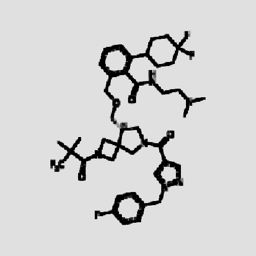 CN(C)CCNC(=O)c1c(COC[C@@H]2CN(C(=O)c3cnn(Cc4ccc(F)cc4)c3)CC23CN(C(=O)C(C)(C)C(F)(F)F)C3)cccc1C1CCC(F)(F)CC1